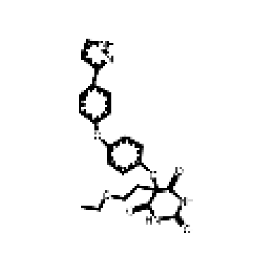 CCOCCC1(Oc2ccc(Oc3ccc(-c4cc[nH]n4)cc3)cc2)C(=O)NC(=O)NC1=O